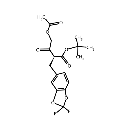 CC(=O)OCC(=O)[C@H](Cc1ccc2c(c1)OC(F)(F)O2)C(=O)OC(C)(C)C